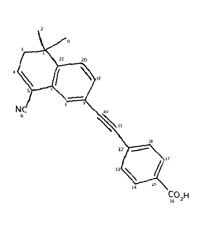 CC1(C)CC=C(C#N)c2cc(C#Cc3ccc(C(=O)O)cc3)ccc21